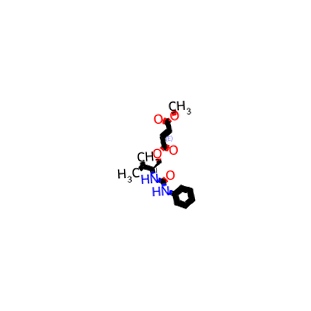 COC(=O)/C=C/C(=O)OC[C@@H](NC(=O)Nc1ccccc1)C(C)C